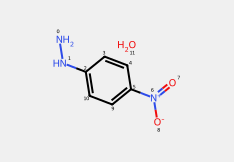 NNc1ccc([N+](=O)[O-])cc1.O